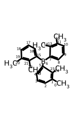 Cc1cccc(B(c2cccc(C)c2C)c2cccc(C)c2C)c1C